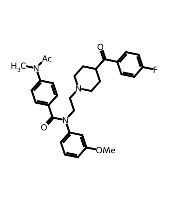 COc1cccc(N(CCN2CCC(C(=O)c3ccc(F)cc3)CC2)C(=O)c2ccc(N(C)C(C)=O)cc2)c1